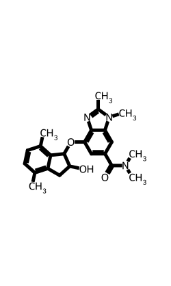 Cc1ccc(C)c2c1CC(O)C2Oc1cc(C(=O)N(C)C)cc2c1nc(C)n2C